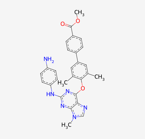 COC(=O)c1ccc(-c2cc(C)c(Oc3nc(Nc4ccc(N)cc4)nc4c3ncn4C)c(C)c2)cc1